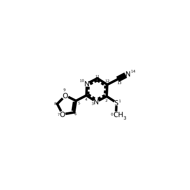 CSc1nc(C2=COCO2)ncc1C#N